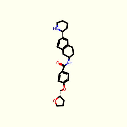 O=C(NC1CCc2cc([C@@H]3CCCCN3)ccc2C1)c1ccc(OC[C@@H]2CCCO2)cc1